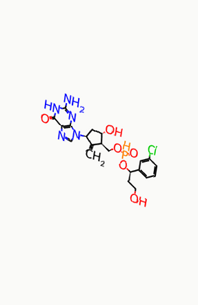 C=C1[C@H](CO[PH](=O)O[C@H](CCO)c2cccc(Cl)c2)[C@@H](O)C[C@@H]1n1cnc2c(=O)[nH]c(N)nc21